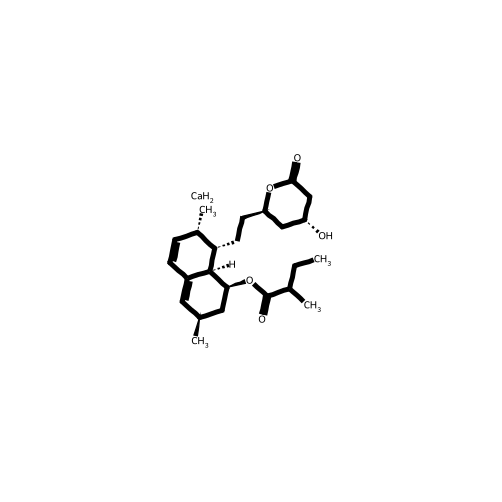 CCC(C)C(=O)O[C@H]1C[C@@H](C)C=C2C=C[C@H](C)[C@H](CC[C@@H]3C[C@@H](O)CC(=O)O3)[C@H]21.[CaH2]